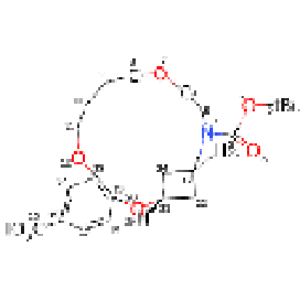 CC(C)(C)OC(=O)N1CCOCCCCOc2cc(C(=O)O)ccc2O[C@H]2C[C@H]1C2